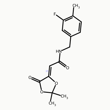 Cc1ccc(CNC(=O)/C=C2\OC(C)(C)OC2=O)cc1F